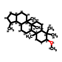 COC1CCC2(C)C(CCC3(C)C2CCC2C4C(C)CCC4CCC23C)C1(C)C